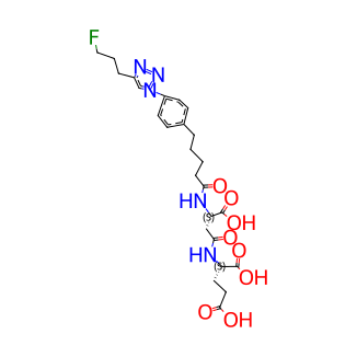 O=C(O)CC[C@H](NC(=O)C[C@H](NC(=O)CCCCc1ccc(-n2cc(CCCF)nn2)cc1)C(=O)O)C(=O)O